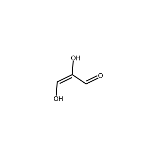 O=C/C(O)=C\O